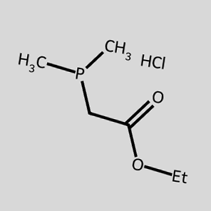 CCOC(=O)CP(C)C.Cl